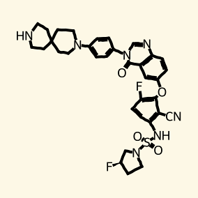 N#Cc1c(NS(=O)(=O)N2CC[C@@H](F)C2)ccc(F)c1Oc1ccc2ncn(-c3ccc(N4CCC5(CCNCC5)CC4)cc3)c(=O)c2c1